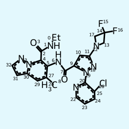 CCNC(=O)c1c(NC(=O)c2cc(N3CC(F)(F)C3)nn2-c2ncccc2Cl)c(C)cc2ccnn12